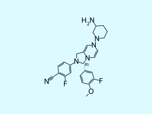 COc1ccc([C@H]2N3C=CN(N4CCCC(N)C4)C=C3CN2c2ccc(C#N)c(F)c2)cc1F